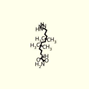 CC(C)(CCCNC(=O)C(N)=O)CCC(C)(C)CCCc1nnn[nH]1